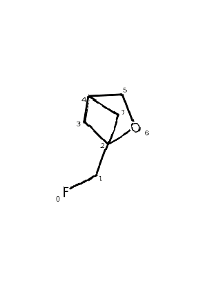 FCC12CC(CO1)C2